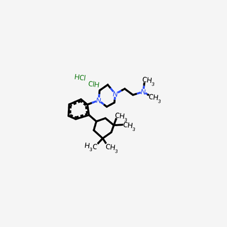 CN(C)CCN1CCN(c2ccccc2C2CC(C)(C)CC(C)(C)C2)CC1.Cl.Cl